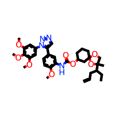 C=CCC(CC)C1(C)COC2(CCCC(OC(=O)Nc3cc(-c4cnnn4-c4cc(OC)c(OC)c(OC)c4)ccc3OC)C2)O1